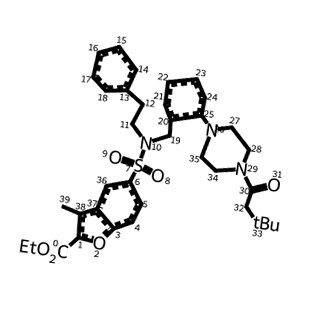 CCOC(=O)c1oc2ccc(S(=O)(=O)N(CCc3ccccc3)Cc3ccccc3N3CCN(C(=O)CC(C)(C)C)CC3)cc2c1C